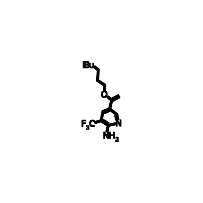 C=C(OCCCC(C)CC)c1cnc(N)c(C(F)(F)F)c1